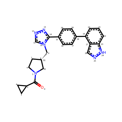 O=C(C1CC1)N1CC[C@H](Cn2cnnc2-c2ccc(-c3cccc4[nH]ncc34)cc2)C1